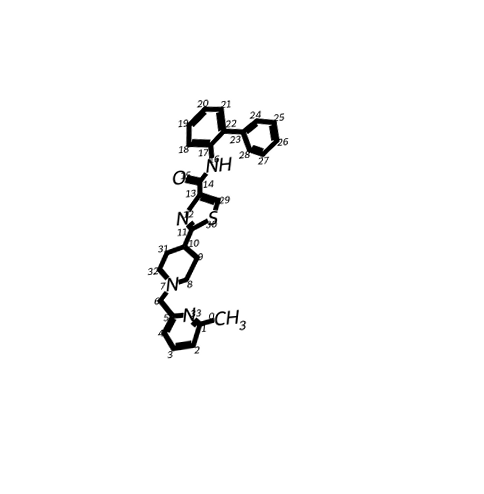 Cc1cccc(CN2CCC(c3nc(C(=O)Nc4ccccc4-c4ccccc4)cs3)CC2)n1